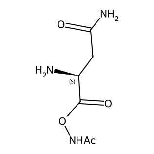 CC(=O)NOC(=O)[C@@H](N)CC(N)=O